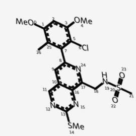 COc1cc(OC)c(Cl)c(-c2cc3cnc(SC)nc3c(CNS(C)(=O)=O)n2)c1C